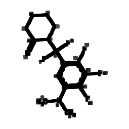 CN(C)c1cc(C(F)(F)C2CCCCC2=O)c(F)c(F)c1F